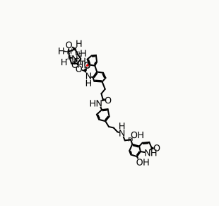 C[N+]1(C)[C@@H]2CC(OC(=O)Nc3cc(CCC(=O)Nc4ccc(CCCNC[C@H](O)c5ccc(O)c6[nH]c(=O)ccc56)cc4)ccc3-c3ccccc3)C[C@H]1[C@@H]1O[C@@H]12